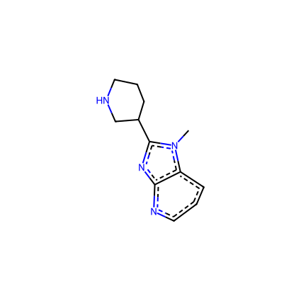 Cn1c(C2CCCNC2)nc2ncccc21